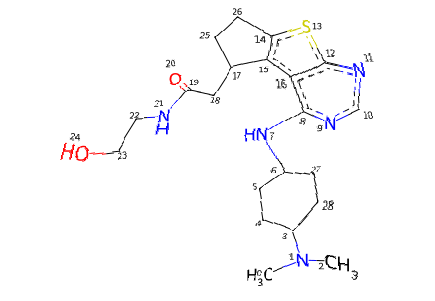 CN(C)C1CCC(Nc2ncnc3sc4c(c23)C(CC(=O)NCCO)CC4)CC1